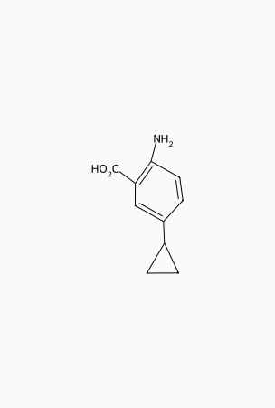 Nc1ccc(C2CC2)cc1C(=O)O